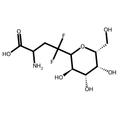 NC(CC(F)(F)C1O[C@H](CO)[C@H](O)[C@H](O)[C@H]1O)C(=O)O